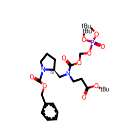 CC(C)(C)OC(=O)CCN(C[C@@H]1CCCN1C(=O)OCc1ccccc1)C(=O)OCOP(=O)(OC(C)(C)C)OC(C)(C)C